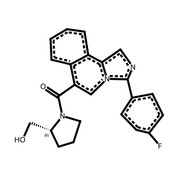 O=C(c1cn2c(-c3ccc(F)cc3)ncc2c2ccccc12)N1CCC[C@@H]1CO